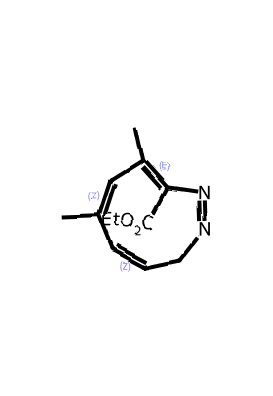 CCOC(=O)\C1=C(C)/C=C(C)\C=C/CN=N1